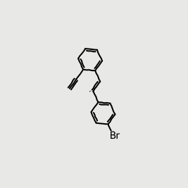 C#Cc1ccccc1C=[C]c1ccc(Br)cc1